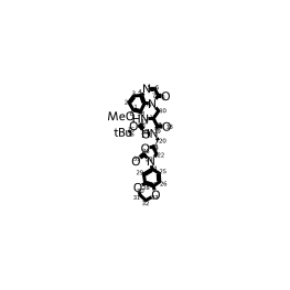 COc1ccc2ncc(=O)n(CC(NC(=O)OC(C)(C)C)C(=O)NC[C@@H]3CN(c4ccc5c(c4)OCCO5)C(=O)O3)c2c1